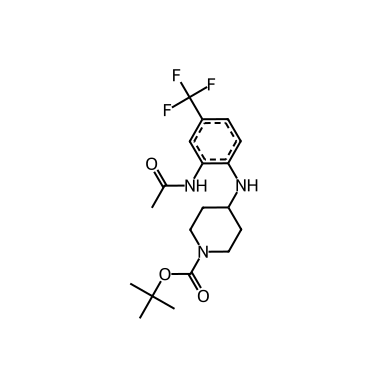 CC(=O)Nc1cc(C(F)(F)F)ccc1NC1CCN(C(=O)OC(C)(C)C)CC1